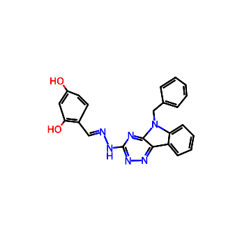 Oc1ccc(C=NNc2nnc3c4ccccc4n(Cc4ccccc4)c3n2)c(O)c1